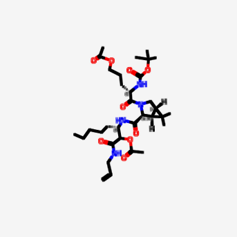 C=CCNC(=O)C(OC(C)=O)[C@H](CCCCC)NC(=O)[C@@H]1[C@@H]2[C@H](CN1C(=O)[C@H](CCCOC(C)=O)NC(=O)OC(C)(C)C)C2(C)C